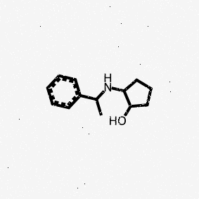 CC(NC1CCCC1O)c1ccccc1